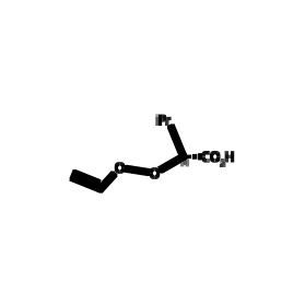 C=COO[C@@H](C(=O)O)C(C)C